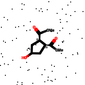 COC(=O)[C@@H]1CC(O)C[C@H]1C(=O)OC